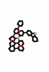 c1ccc(-c2ccc(-c3ccccc3N(c3cccc(-c4ccc5oc6ccccc6c5c4)c3)c3ccccc3-c3cccc4cccc(-c5ccccc5)c34)cc2)cc1